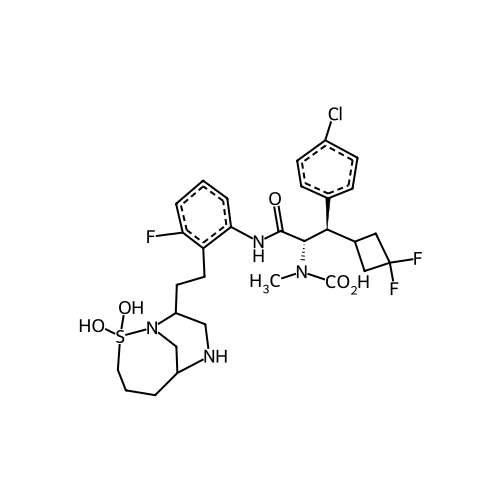 CN(C(=O)O)[C@H](C(=O)Nc1cccc(F)c1CCC1CNC2CCCS(O)(O)N1C2)[C@@H](c1ccc(Cl)cc1)C1CC(F)(F)C1